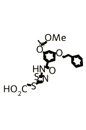 COC[C@H](C)Oc1cc(OCCc2ccccc2)cc(C(=O)Nc2ncc(SCC(=O)O)s2)c1